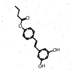 CCCC(=O)Oc1ccc(/C=C/c2cc(O)cc(O)c2)cc1